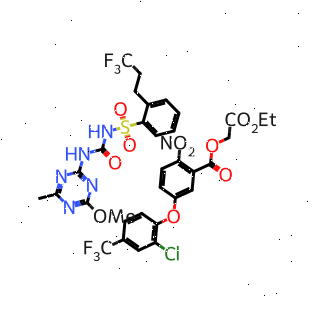 CCOC(=O)COC(=O)c1cc(Oc2ccc(C(F)(F)F)cc2Cl)ccc1[N+](=O)[O-].COc1nc(C)nc(NC(=O)NS(=O)(=O)c2ccccc2CCC(F)(F)F)n1